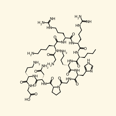 CCCC[C@H](NC(=O)[C@H](CCCNC(=N)N)NC(=O)[C@H](CCCNC(=N)N)NC(=O)[C@H](CCCCN)NC(=O)CN)C(=O)N[C@@H](CCCN)C(=O)N[C@@H](Cc1c[nH]cn1)C(=O)NCC(=O)N1CCC[C@H]1C(=O)N[C@@H](CC(N)=O)C(=O)N[C@@H](CCCN)C(=O)NCC(=O)O